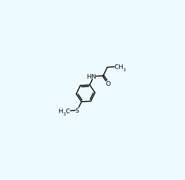 CCC(=O)Nc1ccc(SC)cc1